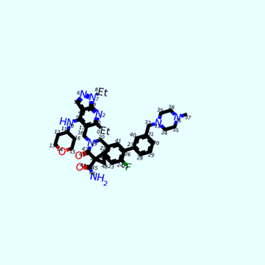 CCc1nc2c(cnn2CC)c(NC2CCOCC2)c1CN(Cc1ccc(F)c(-c2cccc(CN3CCN(C)CC3)c2)c1)C(=O)C1(C(N)=O)CC1